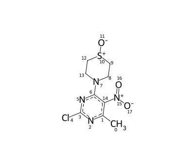 Cc1nc(Cl)nc(N2CC[S+]([O-])CC2)c1[N+](=O)[O-]